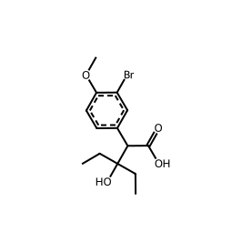 CCC(O)(CC)C(C(=O)O)c1ccc(OC)c(Br)c1